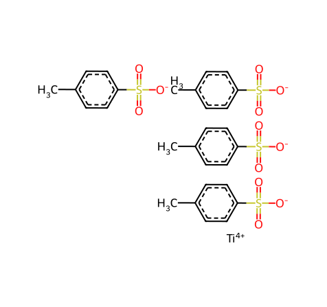 Cc1ccc(S(=O)(=O)[O-])cc1.Cc1ccc(S(=O)(=O)[O-])cc1.Cc1ccc(S(=O)(=O)[O-])cc1.Cc1ccc(S(=O)(=O)[O-])cc1.[Ti+4]